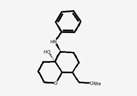 COCC1CC[C@H](Nc2ccccc2)[C@]2(O)CCCOC12